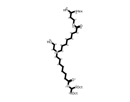 CCCCCCCCC(CCCCCCCC)OC(=O)CCCCCCCN(CCO)CCCCCCCC(=O)OCCC(CCC)CCCCCC